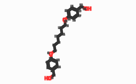 OCc1ccc(OCCCCCCCOc2ccc(CO)cc2)cc1